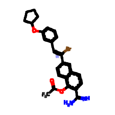 N=C(N)c1ccc2cc(/C(Br)=C/c3cccc(OC4CCCC4)c3)ccc2c1OC(=O)C(F)(F)F